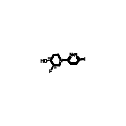 O[C@@H]1CCN(c2ccc(I)nn2)C[C@H]1F